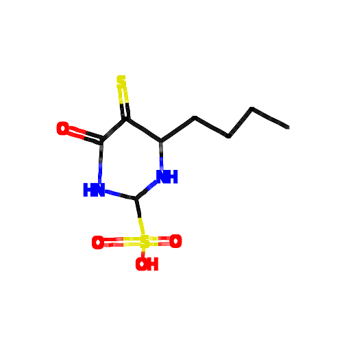 CCCCC1NC(S(=O)(=O)O)NC(=O)C1=S